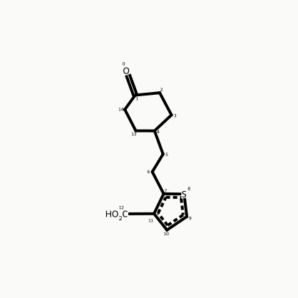 O=C1CCC(CCc2sccc2C(=O)O)CC1